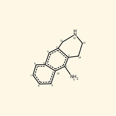 Nc1c2c(cc3ccccc13)CNCC2